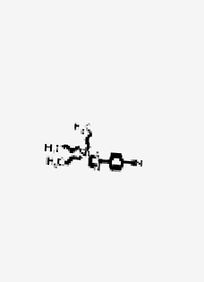 CCC[CH2][Sn]([CH2]CCC)([CH2]CCC)[c]1cnc(-c2ccc(C#N)cc2)s1